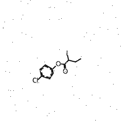 CCC(I)C(=O)Oc1ccc(Cl)cc1